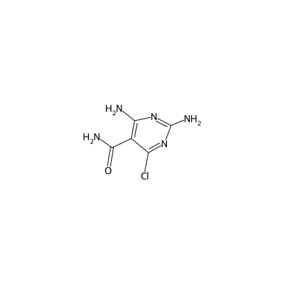 NC(=O)c1c(N)nc(N)nc1Cl